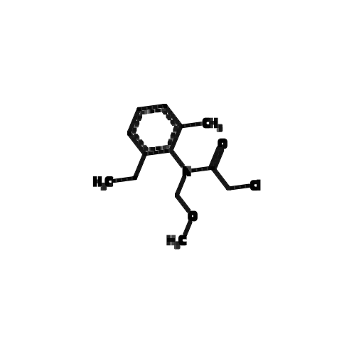 CCc1cccc(C)c1N(COC)C(=O)CCl